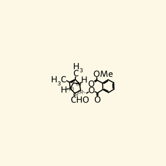 COC(=O)c1ccccc1C(=O)OC[C@@H]1[C@@H](C=O)[C@H]2C[C@@H]1C(C)=C2C